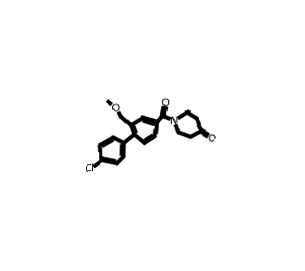 COCc1cc(C(=O)N2CCC(=O)CC2)ccc1-c1ccc(Cl)cc1